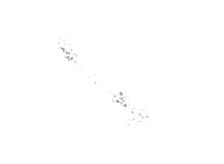 Cc1ccccc1[S+](c1ccccc1)c1ccccc1.O=C(OCCCCCCCCCCCCCOS(=O)(=O)c1ccc2ccccc2n1)C(F)(F)S(=O)(=O)[O-]